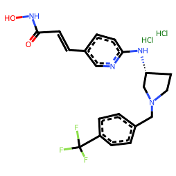 Cl.Cl.O=C(C=Cc1ccc(N[C@@H]2CCN(Cc3ccc(C(F)(F)F)cc3)C2)nc1)NO